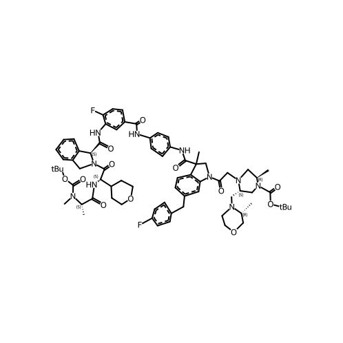 C[C@@H]1COCCN1C[C@H]1CN(C(=O)OC(C)(C)C)[C@H](C)CN1CC(=O)N1CC(C)(C(=O)Nc2ccc(NC(=O)c3ccc(F)c(NC(=O)[C@@H]4c5ccccc5CN4C(=O)[C@@H](NC(=O)[C@H](C)N(C)C(=O)OC(C)(C)C)C4CCOCC4)c3)cc2)c2ccc(Cc3ccc(F)cc3)cc21